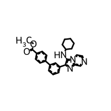 COC(=O)c1ccc(-c2cccc(-c3nc4cnccn4c3NC3CCCCC3)c2)cc1